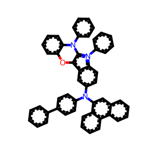 c1ccc(-c2ccc(N(c3ccc4c(c3)c3c(n4-c4ccccc4)N(c4ccccc4)c4ccccc4O3)c3cc4ccccc4c4ccccc34)cc2)cc1